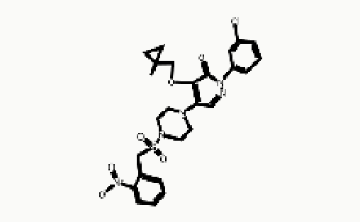 CC1(COc2c(N3CCN(S(=O)(=O)Cc4ccccc4[N+](=O)[O-])CC3)cnn(-c3cccc(Cl)c3)c2=O)CC1